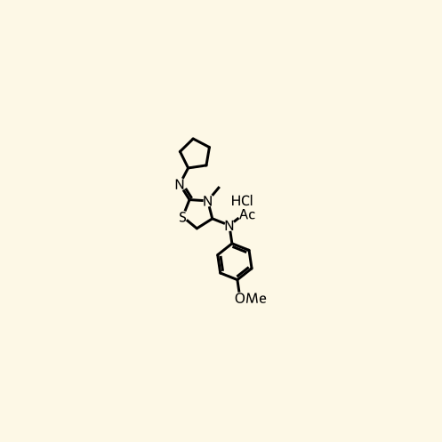 COc1ccc(N(C(C)=O)C2CSC(=NC3CCCC3)N2C)cc1.Cl